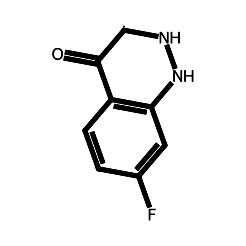 O=C1[CH]NNc2cc(F)ccc21